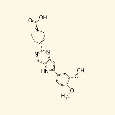 COc1ccc(-c2cc3nc(C4=CCN(C(=O)O)CC4)ncc3[nH]2)cc1OC